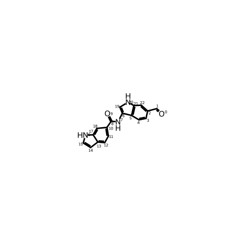 O=Cc1ccc2c(NC(=O)c3ccc4cc[nH]c4c3)c[nH]c2c1